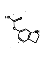 O=C(O)Oc1ccc2c(c1)NCC2